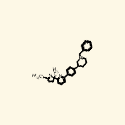 CC1=NC(C)(c2cccc(-c3ccc(C4CCCN(Cc5ccccc5)C4)cc3)n2)C=C1